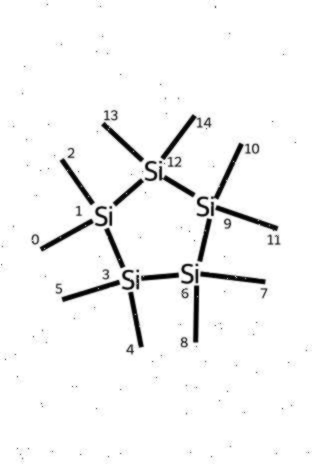 C[Si]1(C)[Si](C)(C)[Si](C)(C)[Si](C)(C)[Si]1(C)C